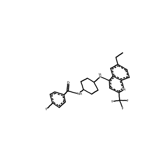 CCc1ccc2nc(C(F)(F)F)cc(NC3CCC(NC(=O)c4ccc(F)cc4)CC3)c2c1